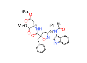 CCC(=O)N(c1c[nH]c2ccccc12)[C@H](C1=NOC(Cc2ccccc2)(C(=O)N[C@@H](CC(=O)OC(C)(C)C)C(=O)OC)C1)C(C)C